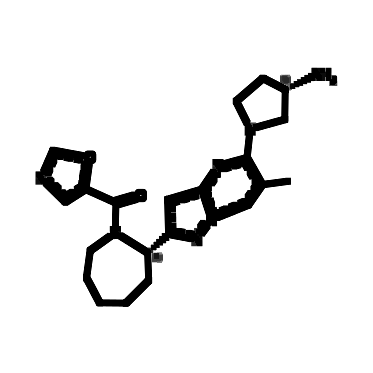 Cc1cn2nc([C@@H]3CCCCCN3C(=O)c3cnco3)cc2nc1N1CC[C@H](N)C1